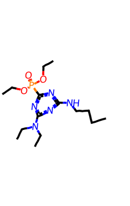 CCCCNc1nc(N(CC)CC)nc(P(=O)(OCC)OCC)n1